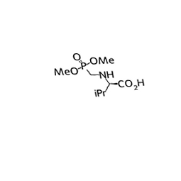 COP(=O)(CN[C@@H](C(=O)O)C(C)C)OC